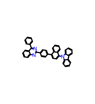 c1ccc(-c2nc(-c3ccc(-c4ccc(-n5c6ccccc6c6ccccc65)c5ccccc45)cc3)nc3ccccc23)cc1